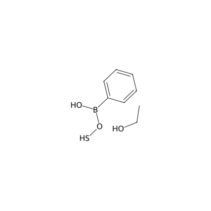 CCO.OB(OS)c1ccccc1